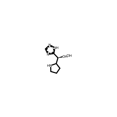 Cl.O[C@H](c1ncn[nH]1)C1CCCN1